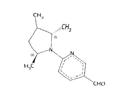 CC1C[C@H](C)N(c2ccc(C=O)cn2)[C@H]1C